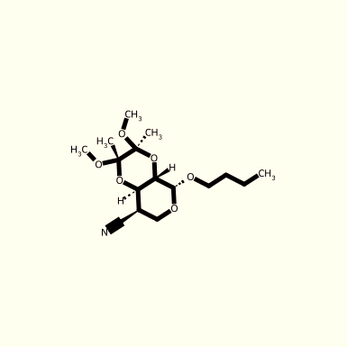 CCCCO[C@@H]1OC[C@@H](C#N)[C@H]2O[C@](C)(OC)[C@@](C)(OC)O[C@H]12